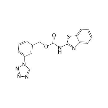 O=C(Nc1nc2ccccc2s1)OCc1cccc(-n2cnnn2)c1